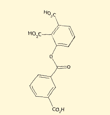 O=C(O)c1cccc(C(=O)Oc2cccc(C(=O)O)c2C(=O)O)c1